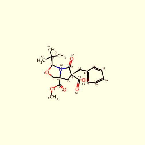 COC(=O)[C@@]12CO[C@@H](C(C)(C)C)N1C(=O)[C@](Cc1ccccc1)(C(=O)O)C2